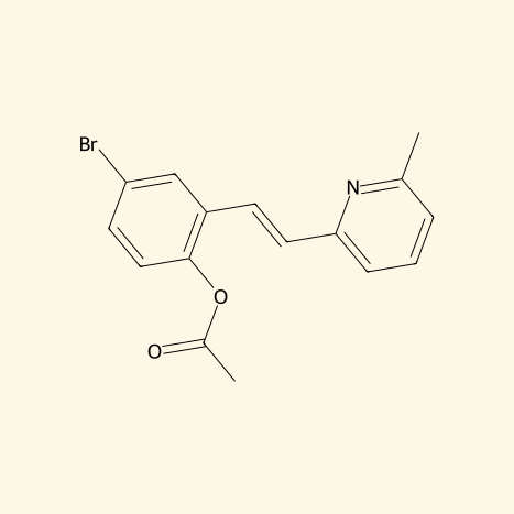 CC(=O)Oc1ccc(Br)cc1/C=C/c1cccc(C)n1